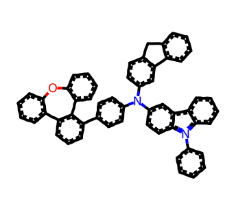 c1ccc(-n2c3ccccc3c3cc(N(c4ccc(-c5cccc6c5-c5ccccc5Oc5ccccc5-6)cc4)c4ccc5c(c4)-c4ccccc4C5)ccc32)cc1